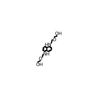 OCCOCCNc1cccc2c(NCCOCCO)cccc12